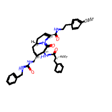 CN[C@H](Cc1ccccc1)C(=O)N[C@@H]1C(=O)N2[C@@H](CC[C@@H]1CNC(=O)NCc1ccccc1)CC[C@H]2C(=O)NCCc1ccc(OC)cc1